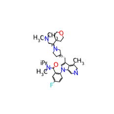 Cc1cncc2c1c(C[C@@H]1CCN([C@@H](CN(C)C)C3CCOCC3)C1)cn2-c1ccc(F)cc1C(=O)N(C)C(C)C